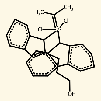 C[C](C)=[Zr]([Cl])([Cl])([CH]1C(CCCO)=Cc2ccccc21)[CH]1c2ccccc2-c2ccccc21